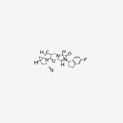 C[C@@H](CN1C[C@@H]2C[C@H]1C(=O)N2[C@@H]1CCc2cc(F)ccc21)C(=O)N1C2C[C@H]2C[C@H]1C#N